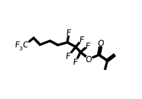 C=C(C)C(=O)OC(F)(F)C(F)(F)C(F)CCCCC(F)(F)F